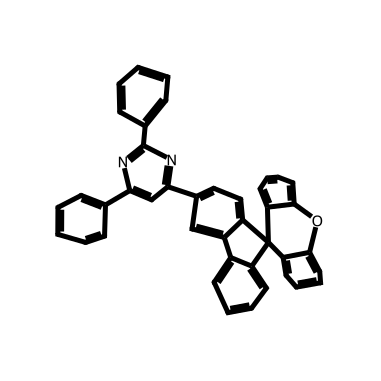 c1ccc(-c2cc(-c3ccc4c(c3)-c3ccccc3C43c4ccccc4Oc4ccccc43)nc(-c3ccccc3)n2)cc1